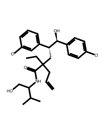 C=CCC(CC)(C[C@H](c1cccc(Cl)c1)[C@@H](O)c1ccc(Cl)cc1)C(=O)NC(CO)C(C)C